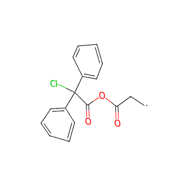 [CH2]CC(=O)OC(=O)C(Cl)(c1ccccc1)c1ccccc1